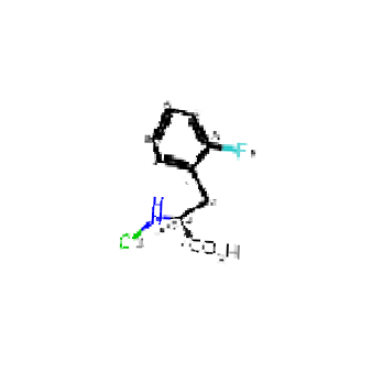 O=C(O)[C@H](Cc1ccccc1F)NCl